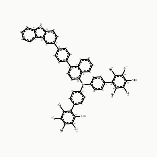 [2H]c1c([2H])c([2H])c(-c2ccc(N(c3ccc(-c4c([2H])c([2H])c([2H])c([2H])c4[2H])cc3)c3ccc(-c4ccc(-c5ccc6oc7ccccc7c6c5)cc4)c4ccccc34)cc2)c([2H])c1[2H]